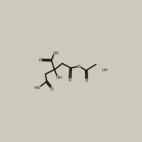 CC(=O)OC(=O)CC(O)(CC(=O)O)C(=O)O.[LiH]